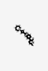 Cc1ccc(-c2ccc3nc(C4CC(N5CCCCCC5)C4)sc3c2)c(C)n1